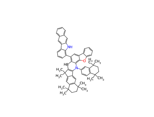 CC1(C)CCC(C)(C)c2cc(N3C4=C(Bc5c(-c6cccc7c6[nH]c6cc8ccccc8cc67)cc6c(oc7ccccc76)c53)C(C)(C)c3cc5c(cc34)C(C)(C)CCC5(C)C)ccc21